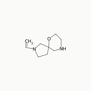 C=CN1CCC2(CNCCO2)C1